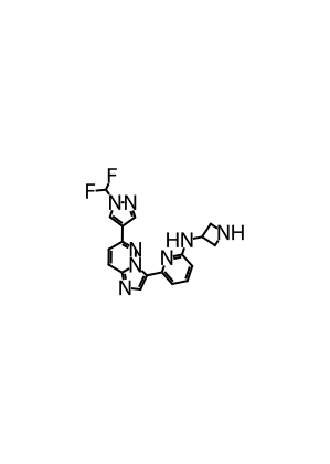 FC(F)n1cc(-c2ccc3ncc(-c4cccc(NC5CNC5)n4)n3n2)cn1